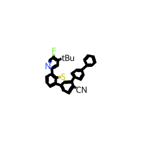 CC(C)(C)c1cc(-c2cccc3c2sc2c(-c4ccc(-c5ccccc5)cc4)c(C#N)ccc23)ncc1F